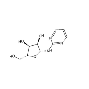 OC[C@H]1O[C@@H](Nc2ncccn2)[C@H](O)[C@@H]1O